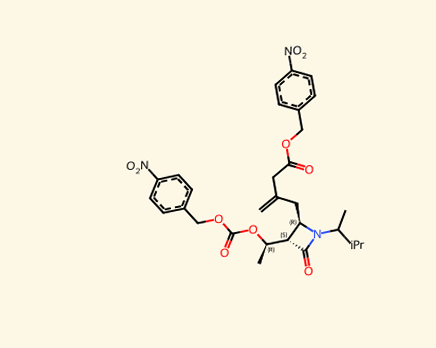 C=C(CC(=O)OCc1ccc([N+](=O)[O-])cc1)C[C@@H]1[C@@H]([C@@H](C)OC(=O)OCc2ccc([N+](=O)[O-])cc2)C(=O)N1C(C)C(C)C